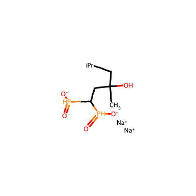 CC(C)CC(C)(O)CC([PH](=O)[O-])[PH](=O)[O-].[Na+].[Na+]